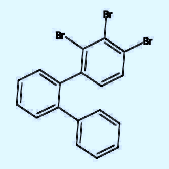 Brc1ccc(-c2ccccc2-c2ccccc2)c(Br)c1Br